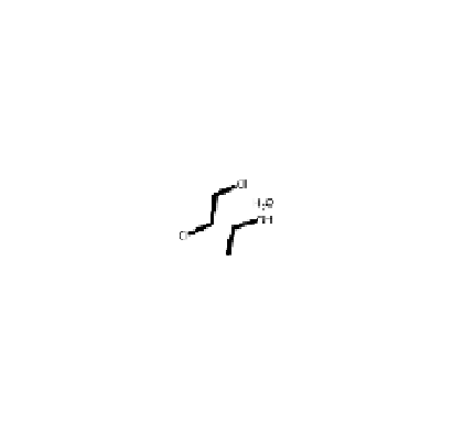 CCO.ClCCCl.O